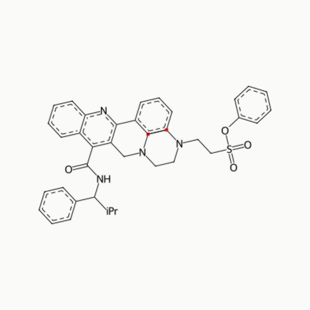 CC(C)C(NC(=O)c1c(CN2CCN(CCS(=O)(=O)Oc3ccccc3)CC2)c(-c2ccccc2)nc2ccccc12)c1ccccc1